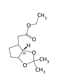 CCOC(=O)CC1CCC2OC(C)(C)O[C@@H]12